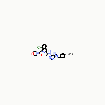 COc1ccc(Cn2cnc3c(N[C@@H](C)c4cc5cccc(Cl)c5c(CC(=O)N5CCOCC5)n4)ncnc32)cc1